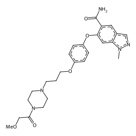 COCC(=O)N1CCN(CCCOc2ccc(Oc3cc4c(cnn4C)cc3C(N)=O)cc2)CC1